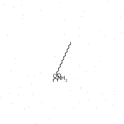 CCCCCCCCCCCCCCCCCC(=O)OC(CC)C(C)N